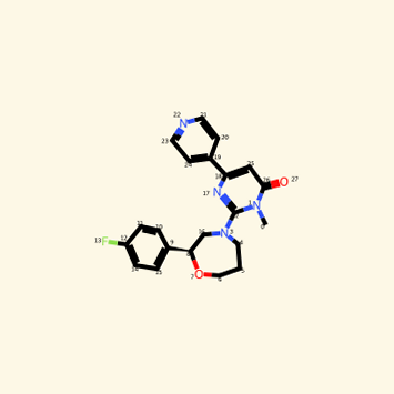 Cn1c(N2CCCO[C@@H](c3ccc(F)cc3)C2)nc(-c2ccncc2)cc1=O